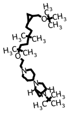 CC(C)(CCC1CC1COC(C)(C)C)CCC(C)(C)OCCN1CCC(N2C[C@H]3C[C@@H]2CN3C(C)(C)C)CC1